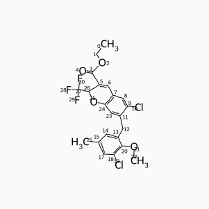 CCOC(=O)C1=Cc2cc(Cl)c(Cc3cc(C)cc(Cl)c3OC)cc2OC1C(F)(F)F